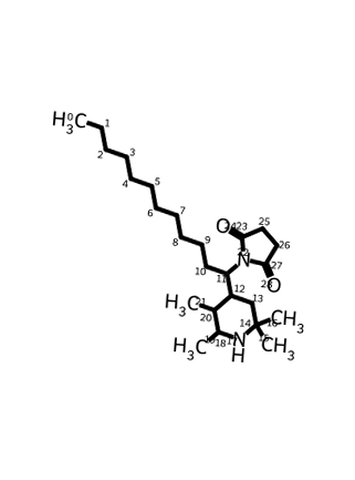 CCCCCCCCCCCC(C1CC(C)(C)NC(C)C1C)N1C(=O)CCC1=O